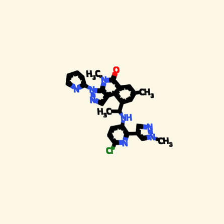 Cc1cc(C(C)Nc2ccc(Cl)nc2-c2cnn(C)c2)c2c(c1)c(=O)n(C)c1c2cnn1-c1ccccn1